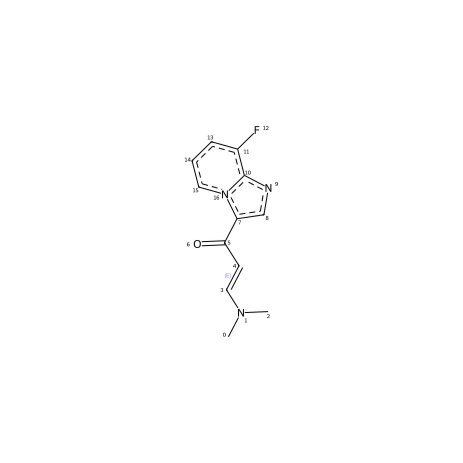 CN(C)/C=C/C(=O)c1cnc2c(F)cccn12